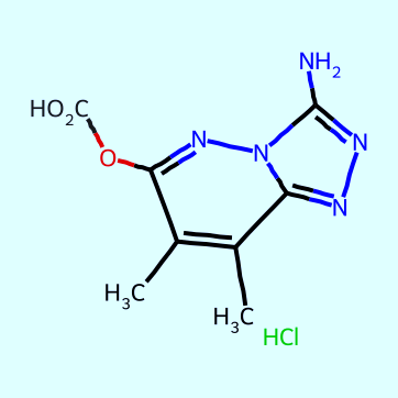 Cc1c(OC(=O)O)nn2c(N)nnc2c1C.Cl